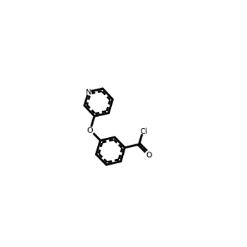 O=C(Cl)c1cccc(Oc2cccnc2)c1